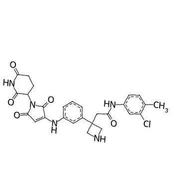 Cc1ccc(NC(=O)CC2(c3cccc(NC4=CC(=O)N(C5CCC(=O)NC5=O)C4=O)c3)CNC2)cc1Cl